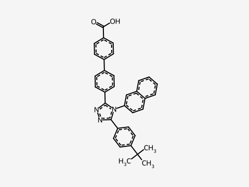 CC(C)(C)c1ccc(-c2nnc(-c3ccc(-c4ccc(C(=O)O)cc4)cc3)n2-c2ccc3ccccc3c2)cc1